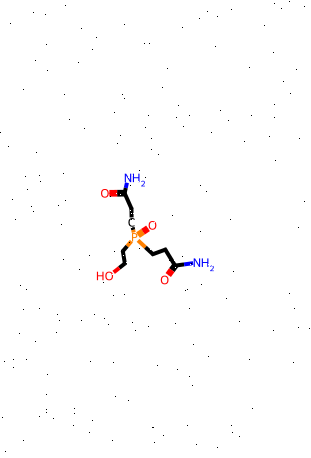 NC(=O)CCP(=O)(CCO)CCC(N)=O